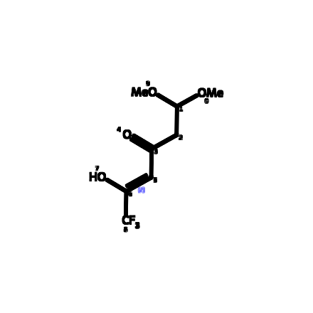 COC(CC(=O)/C=C(\O)C(F)(F)F)OC